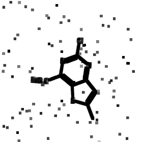 CCOC(=O)c1nc(Cl)nc2cc(C)sc12